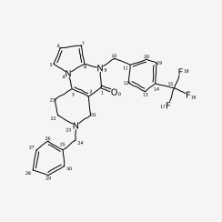 O=c1c2c(n3cccc3n1Cc1ccc(C(F)(F)F)cc1)CCN(Cc1ccccc1)C2